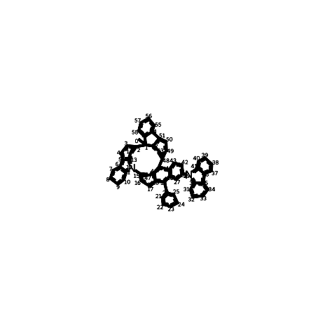 CC12c3ccc4c5ccccc5n(c4c3)-c3ccc4c(-c5ccccc5)c5cc(-n6c7ccccc7c7ccccc76)ccc5c(c4c3)-c3ccc(c1c3)-c1ccccc12